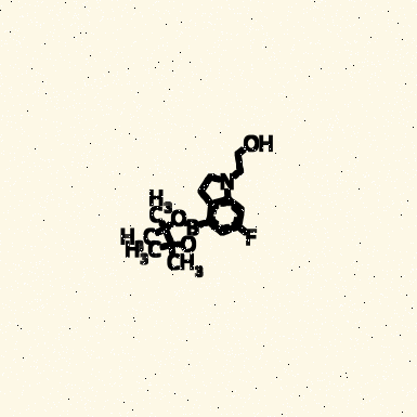 CC1(C)OB(c2cc(F)cc3c2CCN3CCO)OC1(C)C